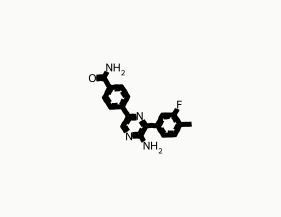 Cc1ccc(-c2nc(-c3ccc(C(N)=O)cc3)cnc2N)cc1F